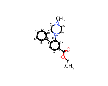 CCOC(=O)c1ccc(-c2ccccc2)c(N2CCN(C)CC2)c1